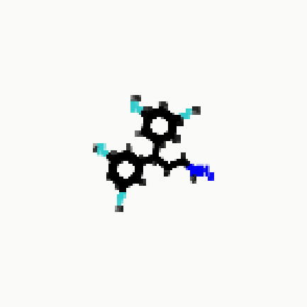 NCCC(c1cc(F)cc(F)c1)c1cc(F)cc(F)c1